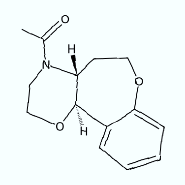 CC(=O)N1CCO[C@@H]2c3ccccc3OCC[C@H]21